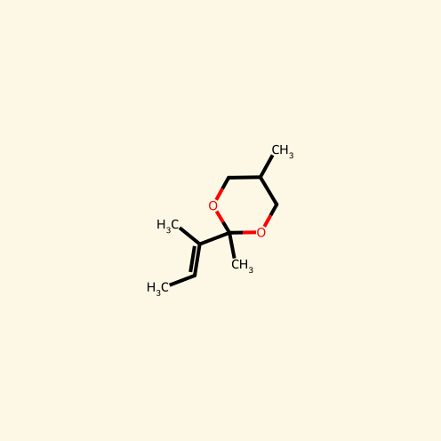 CC=C(C)C1(C)OCC(C)CO1